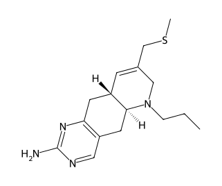 CCCN1CC(CSC)=C[C@H]2Cc3nc(N)ncc3C[C@@H]21